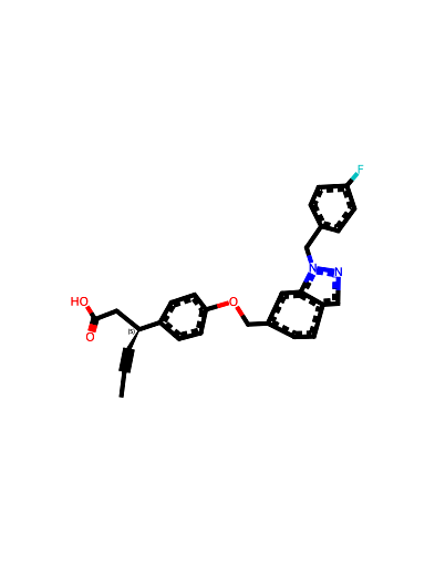 CC#C[C@@H](CC(=O)O)c1ccc(OCc2ccc3cnn(Cc4ccc(F)cc4)c3c2)cc1